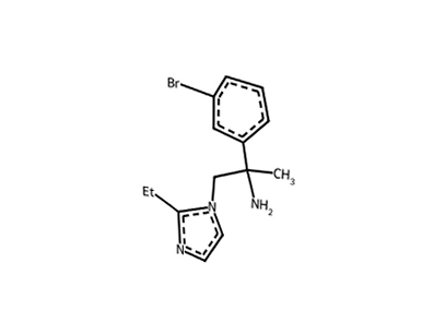 CCc1nccn1CC(C)(N)c1cccc(Br)c1